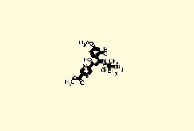 COC(=O)c1cnc(C(O)C/C(=N\[S@@+]([O-])C(C)(C)C)c2ccc(OC)cc2O)cn1